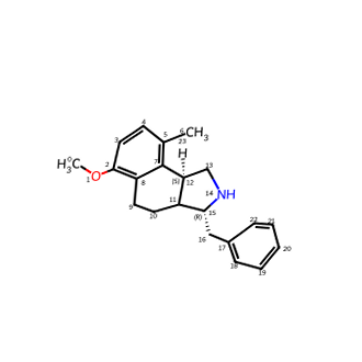 COc1ccc(C)c2c1CCC1[C@@H]2CN[C@@H]1Cc1ccccc1